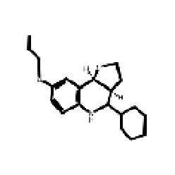 CCCOc1ccc2c(c1)[C@H]1OCC[C@H]1C(C1CCCCC1)N2